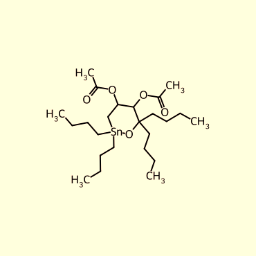 CCCCC1(CCCC)[O][Sn]([CH2]CCC)([CH2]CCC)[CH2]C(OC(C)=O)C1OC(C)=O